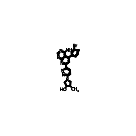 C[C@@H]1CN(c2ccc(-c3cc(-c4cccc(Br)c4)c4c(N)ncnc4n3)nn2)C[C@@H]1O